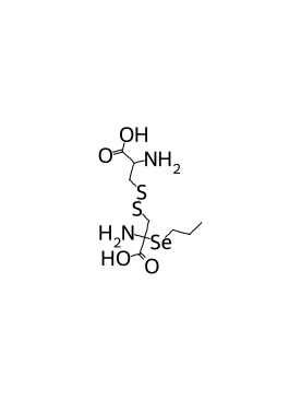 CCC[Se]C(N)(CSSCC(N)C(=O)O)C(=O)O